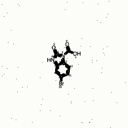 O=C(O)n1c(=O)[nH]c2cc(Br)ccc21